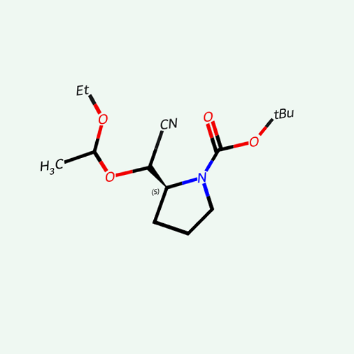 CCOC(C)OC(C#N)[C@@H]1CCCN1C(=O)OC(C)(C)C